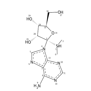 C[SiH](C)[C@@]1(n2cnc3c(N)ncnc32)O[C@H](CO)[C@@H](O)[C@H]1O